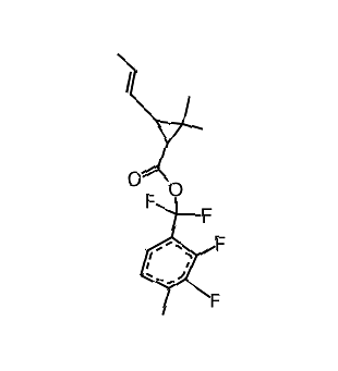 CC=CC1C(C(=O)OC(F)(F)c2ccc(C)c(F)c2F)C1(C)C